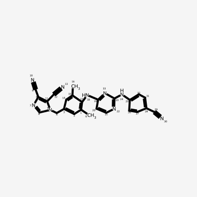 Cc1cc(Cn2cnc(C#N)c2C#N)cc(C)c1Nc1ccnc(Nc2ccc(C#N)cc2)n1